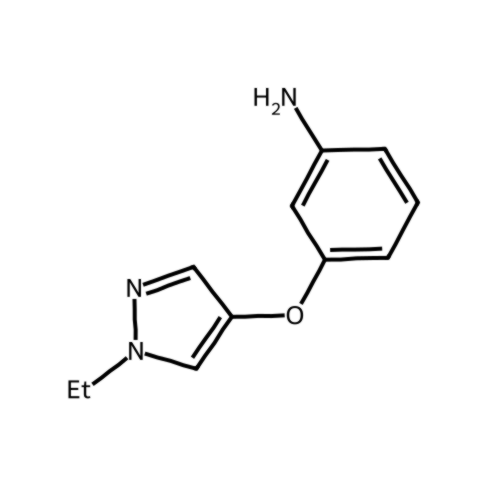 CCn1cc(Oc2cccc(N)c2)cn1